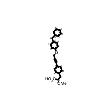 CO[C@@H](Cc1ccc(C#CCOc2ccc(Cc3ccccc3)cc2)cc1)C(=O)O